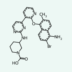 Cc1ccc2c(N)c(Br)ccc2c1Oc1ncccc1-c1ccnc(NC2CCCN(C(=O)O)C2)n1